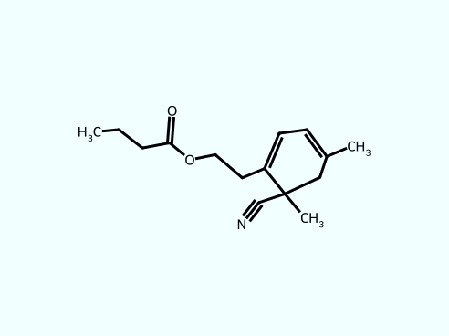 CCCC(=O)OCCC1=CC=C(C)CC1(C)C#N